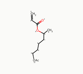 C=CC(=O)OC(C)CCCCOC(C)=O